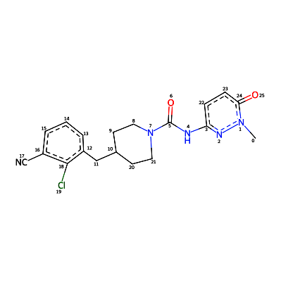 Cn1nc(NC(=O)N2CCC(Cc3cccc(C#N)c3Cl)CC2)ccc1=O